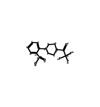 O=C(N1CCN(c2ccccc2[N+](=O)[O-])CC1)C(F)(F)F